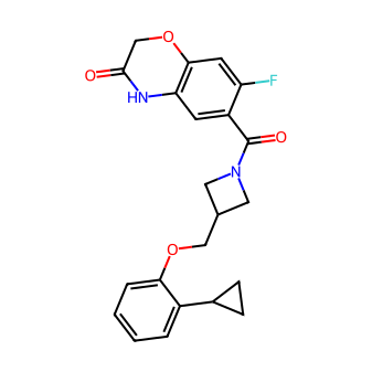 O=C1COc2cc(F)c(C(=O)N3CC(COc4ccccc4C4CC4)C3)cc2N1